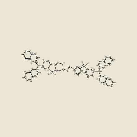 CC1(C)C2=CC(/C=C/c3ccc4c(c3)C(C)(C)c3cc(N(c5ccc6ccccc6c5)c5ccc6ccccc6c5)ccc3-4)CC=C2c2ccc(N(c3ccc4ccccc4c3)c3ccc4ccccc4c3)cc21